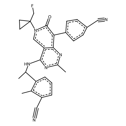 Cc1nc(NC(C)c2cccc(C#N)c2C)c2cn(C3(CF)CC3)c(=O)c(-c3ccc(C#N)cc3)c2n1